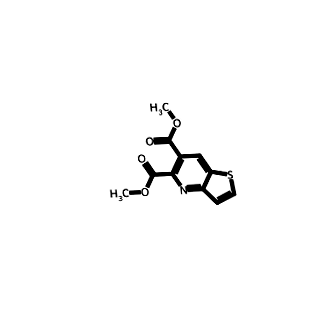 COC(=O)c1cc2sccc2nc1C(=O)OC